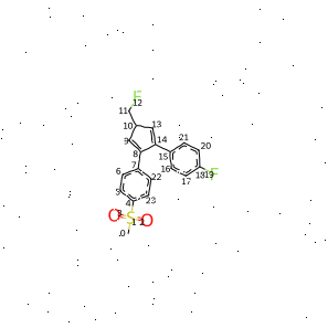 CS(=O)(=O)c1ccc(C2=CC(CF)C=C2c2ccc(F)cc2)cc1